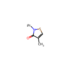 Cc1csn(C(C)C)c1=O